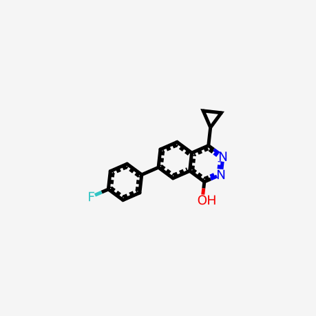 Oc1nnc(C2CC2)c2ccc(-c3ccc(F)cc3)cc12